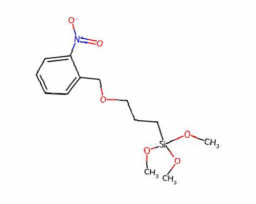 CO[Si](CCCOCc1ccccc1[N+](=O)[O-])(OC)OC